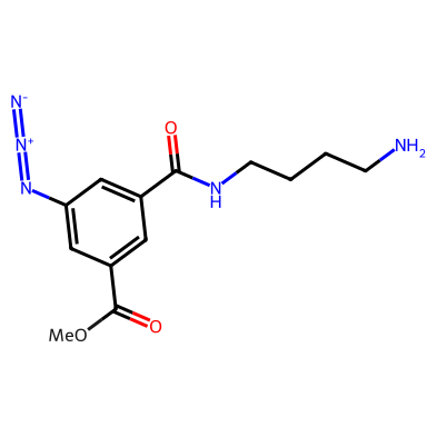 COC(=O)c1cc(N=[N+]=[N-])cc(C(=O)NCCCCN)c1